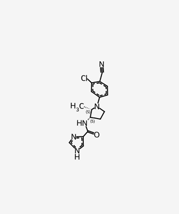 C[C@H]1[C@@H](NC(=O)c2c[nH]cn2)CCN1c1ccc(C#N)c(Cl)c1